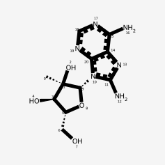 C[C@@]1(O)[C@H](O)[C@@H](CO)O[C@H]1n1c(N)nc2c(N)ncnc21